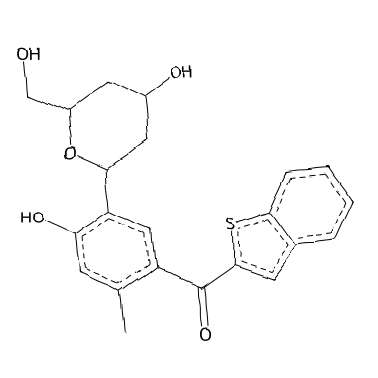 Cc1cc(O)c(C2CC(O)CC(CO)O2)cc1C(=O)c1cc2ccccc2s1